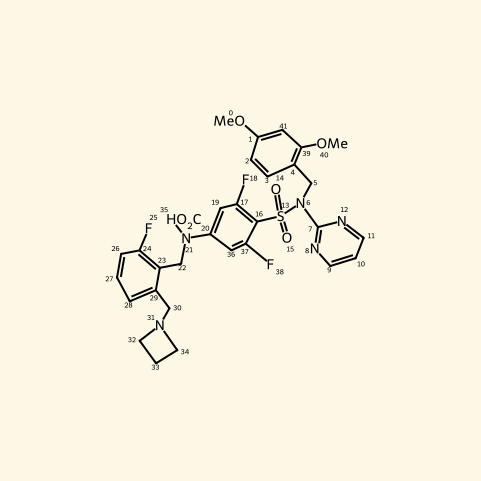 COc1ccc(CN(c2ncccn2)S(=O)(=O)c2c(F)cc(N(Cc3c(F)cccc3CN3CCC3)C(=O)O)cc2F)c(OC)c1